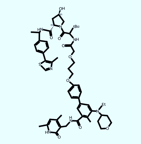 CCN(c1cc(-c2ccc(OCCCOCC(=O)NC(C(=O)N3C[C@H](O)C[C@H]3C(=O)NC(C)c3ccc(-c4scnc4C)cc3)C(C)(C)C)cc2)cc(C(=O)NCc2c(C)cc(C)[nH]c2=O)c1C)C1CCOCC1